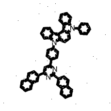 c1ccc(-n2c3ccccc3c3c4c5ccccc5n(-c5ccc(-c6cc(-c7ccc8ccccc8c7)nc(-c7ccc8ccccc8c7)n6)cc5)c4ccc32)cc1